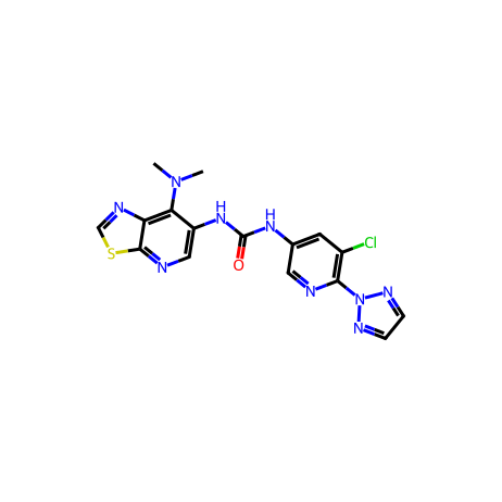 CN(C)c1c(NC(=O)Nc2cnc(-n3nccn3)c(Cl)c2)cnc2scnc12